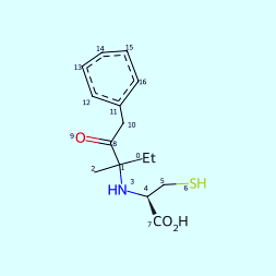 CCC(C)(N[C@@H](CS)C(=O)O)C(=O)Cc1ccccc1